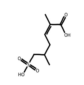 CC(=CCC(C)CS(=O)(=O)O)C(=O)O